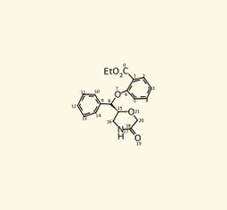 CCOC(=O)c1ccccc1OC(c1ccccc1)[C@@H]1CNC(=O)CO1